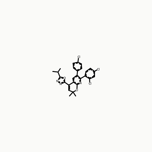 CC(C)c1nnc(C2=CC(C)(C)Oc3nc(-c4ccc(Cl)cc4Cl)c(-c4ccc(Cl)cc4)cc32)o1